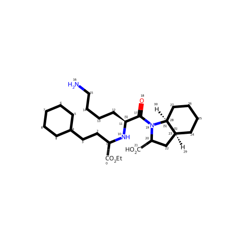 CCOC(=O)C(CCC1CCCCC1)N[C@@H](CCCCN)C(=O)N1C(C(=O)O)C[C@@H]2CCCC[C@@H]21